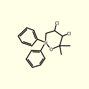 CC1(C)O[Si](c2ccccc2)(c2ccccc2)CC(Cl)C1Cl